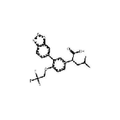 CC(C)CC(C(=O)O)c1ccc(OCC(F)(F)F)c(-c2ccc3nsnc3c2)c1